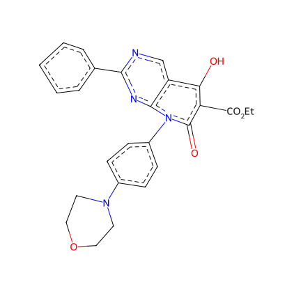 CCOC(=O)c1c(O)c2cnc(-c3ccccc3)nc2n(-c2ccc(N3CCOCC3)cc2)c1=O